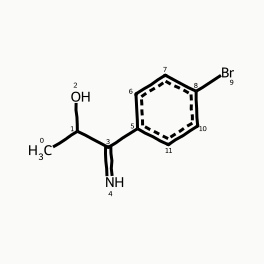 CC(O)C(=N)c1ccc(Br)cc1